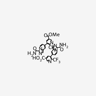 COC(=O)c1cnc(C(F)(F)F)c(-c2ccn3c(C(N)=O)ncc3c2)c1.NC(=O)c1ncc2cc(-c3cc(C(=O)O)cnc3C(F)(F)F)ccn12